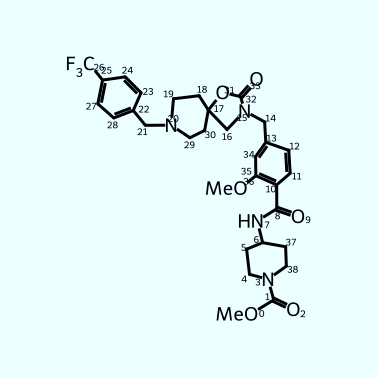 COC(=O)N1CCC(NC(=O)c2ccc(CN3CC4(CCN(Cc5ccc(C(F)(F)F)cc5)CC4)OC3=O)cc2OC)CC1